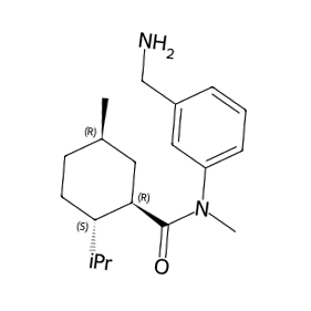 CC(C)[C@@H]1CC[C@@H](C)C[C@H]1C(=O)N(C)c1cccc(CN)c1